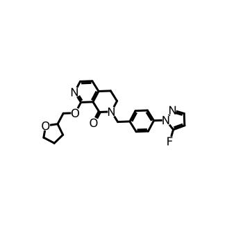 O=C1c2c(ccnc2OCC2CCCO2)CCN1Cc1ccc(-n2nccc2F)cc1